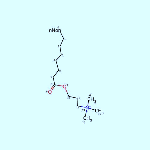 CCCCCCCCCCCCCCCC(=O)OCCC[N+](C)(C)C